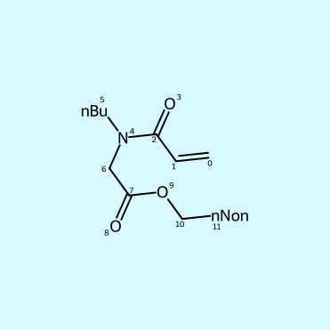 C=CC(=O)N(CCCC)CC(=O)OCCCCCCCCCC